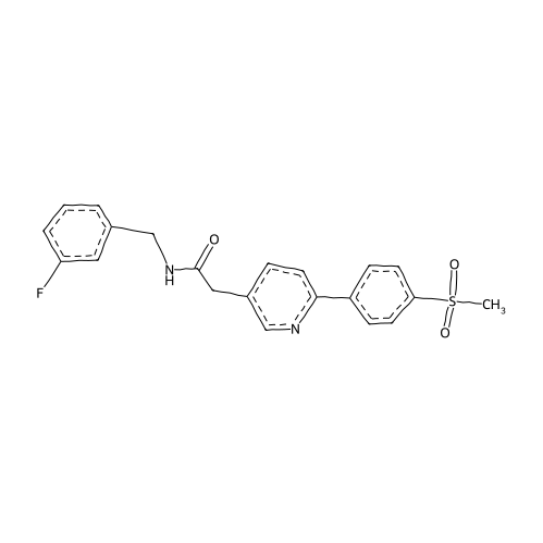 CS(=O)(=O)c1ccc(-c2ccc(CC(=O)NCc3cccc(F)c3)cn2)cc1